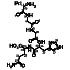 CC(C)[C@H](N)C(=O)NCC(=O)NCC(=O)N[C@@H](Cc1c[nH]cn1)C(=O)N[C@@H](CCC(N)=O)C(=O)O